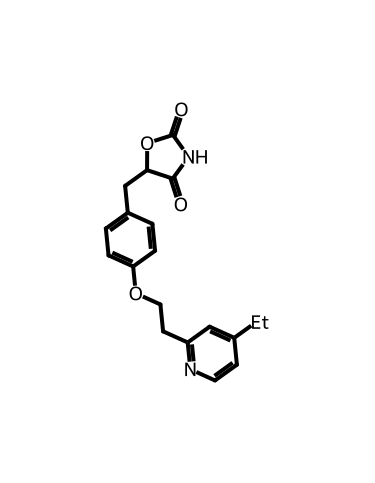 CCc1ccnc(CCOc2ccc(CC3OC(=O)NC3=O)cc2)c1